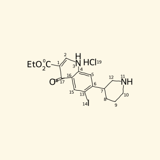 CCOC(=O)c1c[nH]c2cc(C3CCCNC3)c(I)cc2c1=O.Cl